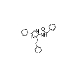 O=C(Cc1ccccc1)Nc1ncc(-c2ccccc2)nc1CCc1ccccc1